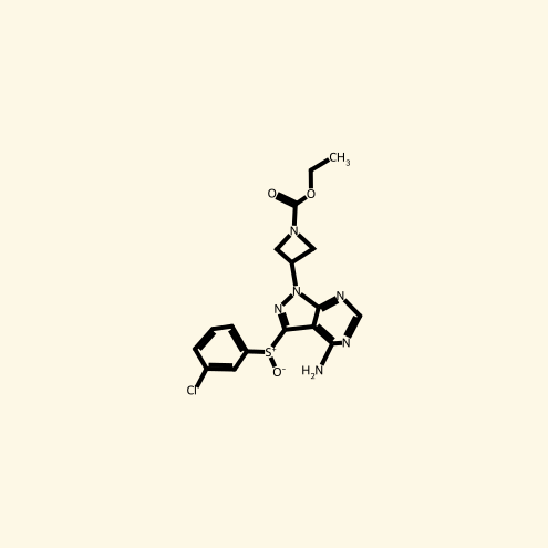 CCOC(=O)N1CC(n2nc([S+]([O-])c3cccc(Cl)c3)c3c(N)ncnc32)C1